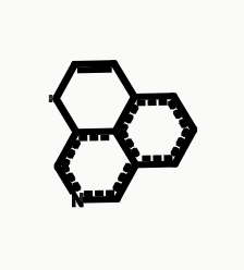 [C]1C=Cc2cccc3cncc1c23